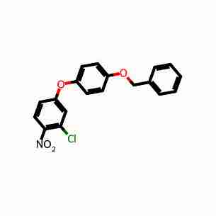 O=[N+]([O-])c1ccc(Oc2ccc(OCc3ccccc3)cc2)cc1Cl